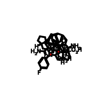 CC1(C)C(C(N)=O)Cc2ccc(cc2)[C@@]1(C(=O)NC(=O)O)N1C(N(c2ccc(F)cc2)C2C[C@@H]3CCC[C@@H]3N2[C@]2(C(=O)NC(=O)O)c3ccc(cc3)CC(C(N)=O)C2(C)C)C[C@@H]2CCC[C@@H]21